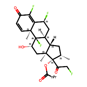 CCCC(=O)O[C@@]1(C(=O)CF)[C@@H](C)C[C@H]2[C@@H]3C[C@H](F)C4=C(F)C(=O)C=C[C@]4(C)[C@@]3(F)[C@@H](O)C[C@@]21C